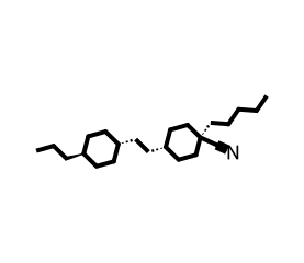 CCCCC[C@]1(C#N)CC[C@H](CC[C@H]2CC[C@H](CCC)CC2)CC1